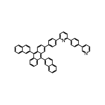 c1cncc(-c2ccc(-c3cccc(-c4ccc(-c5ccc6c(-c7ccc8ccccc8c7)c7ccccc7c(-c7ccc8ccccc8c7)c6c5)cc4)n3)cc2)c1